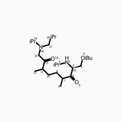 CC(C)COC[C@H](NC(C)C)C(=O)C(C)CCC(C)C(=O)CN(CC(C)C)C(C)C